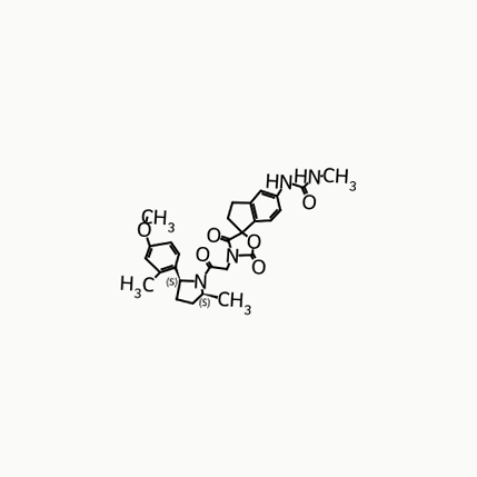 CNC(=O)Nc1ccc2c(c1)CCC21OC(=O)N(CC(=O)N2[C@@H](C)CC[C@H]2c2ccc(OC)cc2C)C1=O